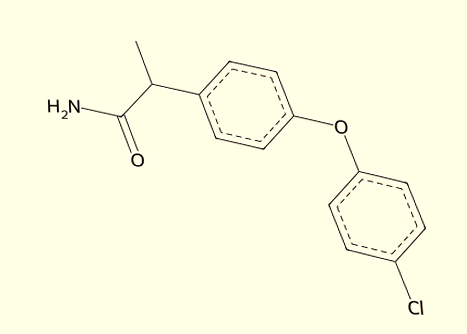 CC(C(N)=O)c1ccc(Oc2ccc(Cl)cc2)cc1